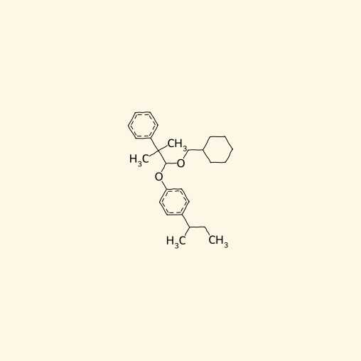 CCC(C)c1ccc(OC(OCC2CCCCC2)C(C)(C)c2ccccc2)cc1